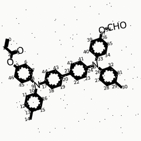 C=CC(=O)Oc1ccc(N(c2ccc(C)cc2)c2ccc(-c3ccc(N(c4ccc(C)cc4)c4ccc(OC=O)cc4)cc3)cc2)cc1